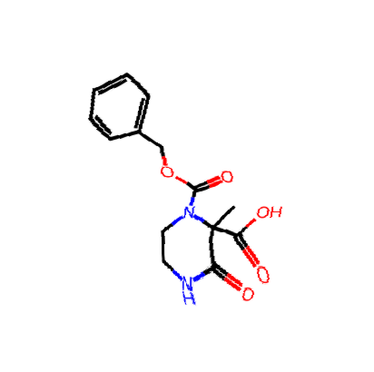 CC1(C(=O)O)C(=O)NCCN1C(=O)OCc1ccccc1